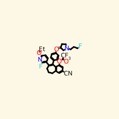 CCOc1ccc(C2=C(c3ccc(O[C@H]4CCN(CCCF)C4)cc3)c3c(cc(C#N)cc3OC(=O)C(F)(F)F)CCC2)c(F)n1